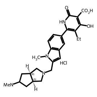 CCc1c(-c2ccc3c(c2)cc(CN2C[C@H]4CC(NC)C[C@H]4C2)n3C)[nH]c(=O)c(C(=O)O)c1O.Cl